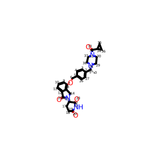 C[C@H](c1ccc(COc2cccc3c2CN(C2CCC(=O)NC2=O)C3=O)cc1)N1CCN(C(=O)C2CC2)CC1